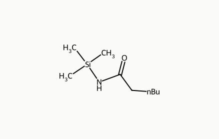 CCCCCC(=O)N[Si](C)(C)C